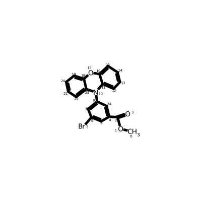 COC(=O)c1cc(Br)cc(N2c3ccccc3Oc3ccccc32)c1